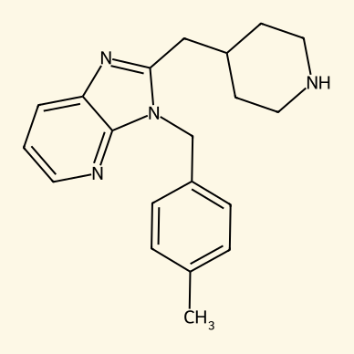 Cc1ccc(Cn2c(CC3CCNCC3)nc3cccnc32)cc1